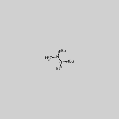 CCCCN(C)C(CC)C(C)(C)C